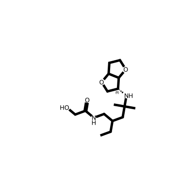 CCC(CNC(=O)CO)CC(C)(C)N[C@@H]1COC2CCOC21